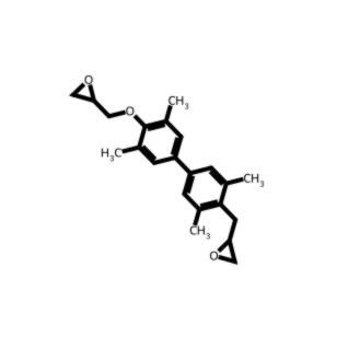 Cc1cc(-c2cc(C)c(OCC3CO3)c(C)c2)cc(C)c1CC1CO1